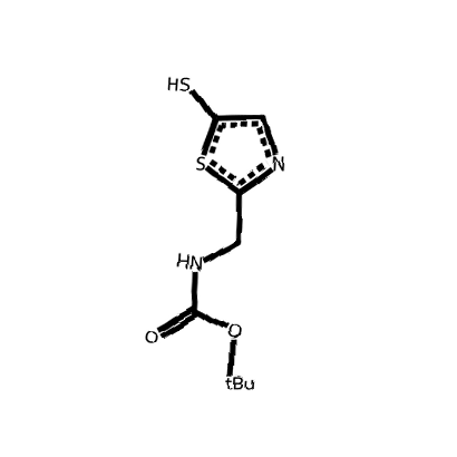 CC(C)(C)OC(=O)NCc1ncc(S)s1